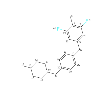 Cc1c(F)cc(Cc2ccc(CC3CCC(C)CC3)cc2)cc1F